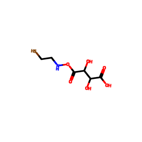 O=C(O)C(O)C(O)C(=O)ONCCS